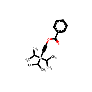 CC(C)[Si](C#COC(=O)c1ccccc1)(C(C)C)C(C)C